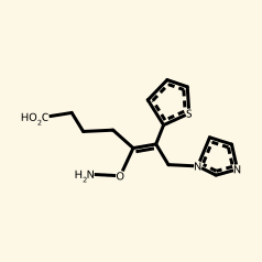 NOC(CCCC(=O)O)=C(Cn1ccnc1)c1cccs1